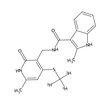 [2H]C([2H])([2H])Sc1cc(C)[nH]c(=O)c1CNC(=O)c1c(C)[nH]c2ccccc12